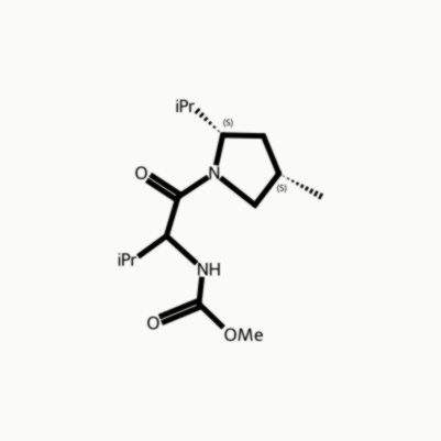 COC(=O)NC(C(=O)N1C[C@@H](C)C[C@H]1C(C)C)C(C)C